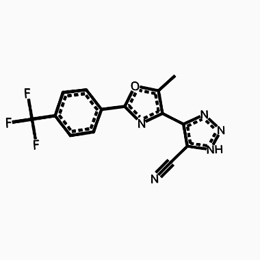 Cc1oc(-c2ccc(C(F)(F)F)cc2)nc1-c1nn[nH]c1C#N